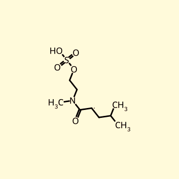 CC(C)C[CH]C(=O)N(C)CCOS(=O)(=O)O